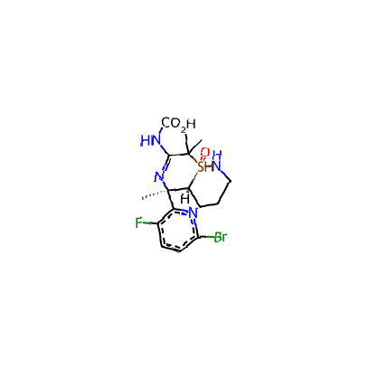 CC1(C)C(NC(=O)O)=N[C@](C)(c2nc(Br)ccc2F)[C@@H]2CCCN[SH]21=O